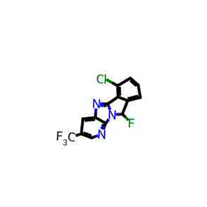 FC1c2cccc(Cl)c2-c2nc3cc(C(F)(F)F)cnc3n21